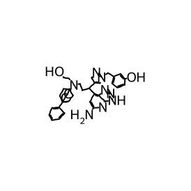 Nc1cc(C(CCN(CCO)C23CCC(c4ccccc4)(CC2)CC3)c2cnn(Cc3cccc(O)c3)c2)c2nn[nH]c2n1